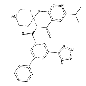 CC(C)c1cc2c(cn1)OC1(CCNCC1)[C@H](C(=O)c1cc(-c3ccccc3)cc(-c3nnn[nH]3)c1)C2=O